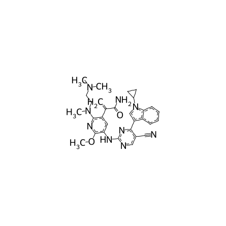 C=C(C(N)=O)c1cc(Nc2ncc(C#N)c(-c3cn(C4CC4)c4ccccc34)n2)c(OC)nc1N(C)CCN(C)C